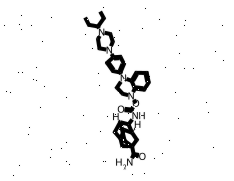 CCC(CC)N1CCN(c2ccc(N3CCN(OC(=O)NC4[C@@H]5CC6C[C@H]4CC(C(N)=O)(C6)C5)c4ccccc43)cc2)CC1